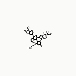 C=CC(=O)N1CCn2nc(-c3nc(-c4cnc5c(c4)CN(C)C5=O)c4ccsc4c3-c3c(F)cc(F)cc3OCCO)cc2C1C